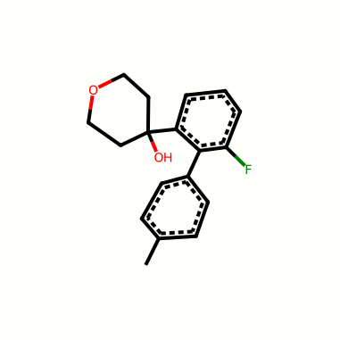 Cc1ccc(-c2c(F)cccc2C2(O)CCOCC2)cc1